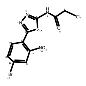 O=C(CCl)Nc1nnc(-c2ccc(Br)cc2[N+](=O)[O-])s1